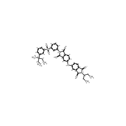 CCC(CC)N1C(=O)c2ccc(Oc3ccc4c(c3)C(=O)N(c3cccc(S(=O)(=O)c5cccc(C(C)(CC)CC)c5)c3)C4=O)cc2C1=O